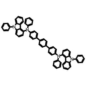 c1ccc(N(c2ccc(-c3ccc(-c4ccc(N(c5ccccc5)c5cccc6c5c5ccccc5n6-c5ccccc5)cc4)cc3)cc2)c2cccc3c2c2ccccc2n3-c2ccccc2)cc1